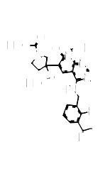 COC1(c2cc3c(NCc4cccc(C(F)F)c4F)ncnc3n(C)c2=O)CCN(C(C)=O)C1